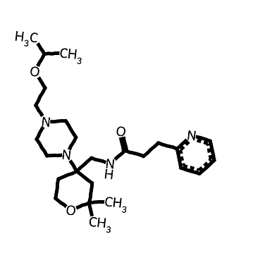 CC(C)OCCN1CCN(C2(CNC(=O)CCc3ccccn3)CCOC(C)(C)C2)CC1